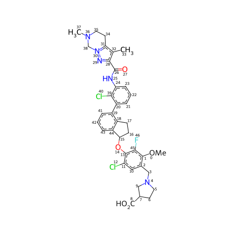 COc1c(CN2CCC(C(=O)O)C2)cc(Cl)c(OC2CCc3c(-c4cccc(NC(=O)c5nn6c(c5C)CCN(C)C6)c4Cl)cccc32)c1F